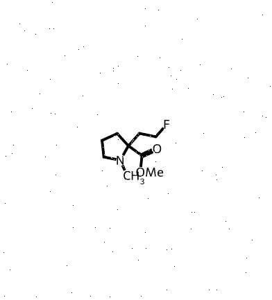 COC(=O)C1(CCF)CCCN1C